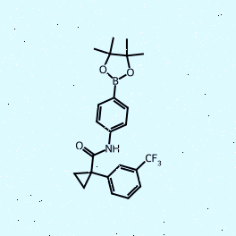 CC1(C)OB(c2ccc(NC(=O)C3(c4cccc(C(F)(F)F)c4)CC3)cc2)OC1(C)C